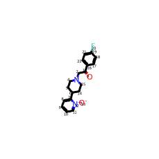 O=C(CN1CCC(c2cccc[n+]2[O-])CC1)c1ccc(F)cc1